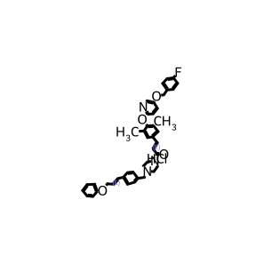 Cc1cc(/C=C/C(=O)N2CCN(Cc3ccc(/C=C/COc4ccccc4)cc3)CC2)cc(C)c1Oc1ccc(OCc2ccc(F)cc2)cn1.Cl